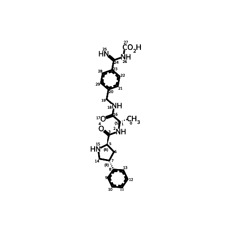 C[C@H](NC(=O)[C@H]1C[C@H](c2ccccc2)CN1)C(=O)NCc1ccc(C(=N)NC(=O)O)cc1